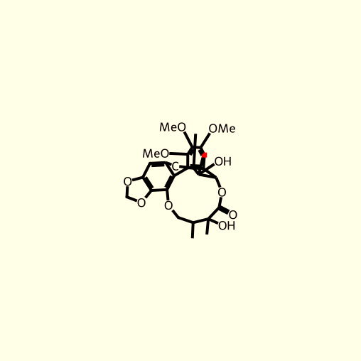 COc1cc2c(c(OC)c1OC)-c1c3cc4c(c1OCC(C)C(C)(O)C(=O)OC2C(C)(O)C(C)C3)OCO4